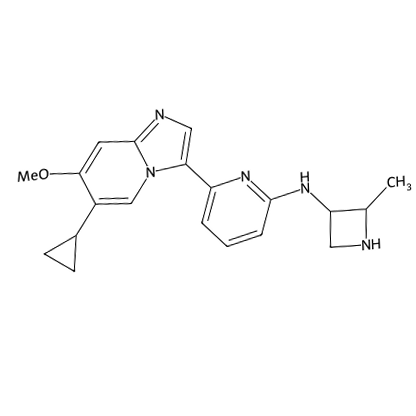 COc1cc2ncc(-c3cccc(NC4CNC4C)n3)n2cc1C1CC1